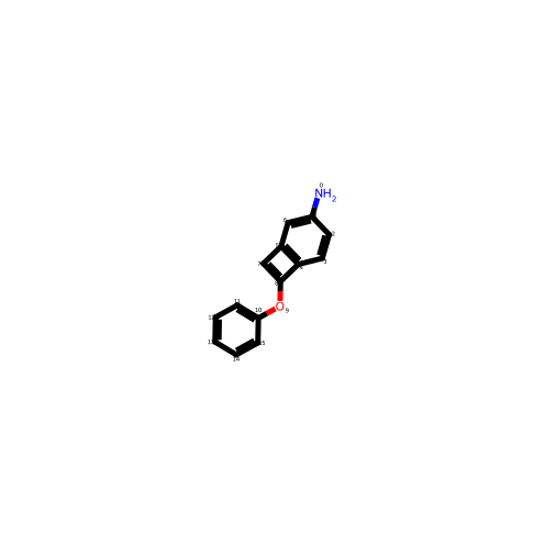 Nc1ccc2c(c1)C=C2Oc1ccccc1